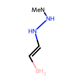 B/C=C/NNNC